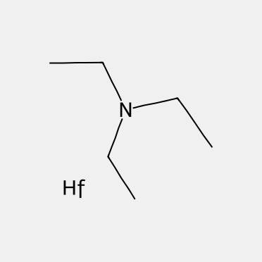 CCN(CC)CC.[Hf]